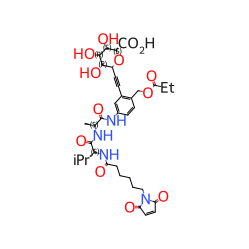 CCC(=O)OCc1ccc(NC(=O)[C@H](C)NC(=O)[C@@H](NC(=O)CCCCCN2C(=O)C=CC2=O)C(C)C)cc1C#CC1O[C@H](C(=O)O)[C@@H](O)[C@H](O)[C@H]1O